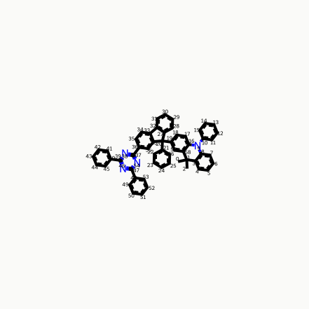 CC1(C)c2ccccc2N(c2ccccc2)c2ccc(C3(c4ccccc4)c4ccccc4-c4ccc(-c5nc(-c6ccccc6)nc(-c6ccccc6)n5)cc43)cc21